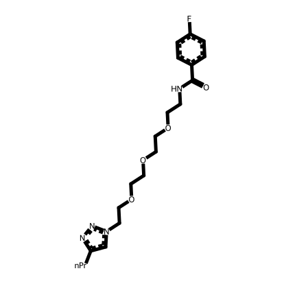 [CH2]CCc1cn(CCOCCOCCOCCNC(=O)c2ccc(F)cc2)nn1